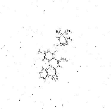 Cc1ncccc1N1C(=C=O)N=C(N)c2c(CCC(=O)OC(C)(C)C)cc(Cl)cc21